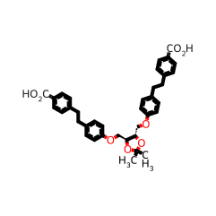 CC1(C)O[C@@H](COc2ccc(CCc3ccc(C(=O)O)cc3)cc2)[C@H](COc2ccc(CCc3ccc(C(=O)O)cc3)cc2)O1